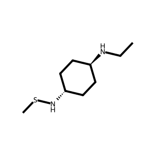 CCN[C@H]1CC[C@H](NSC)CC1